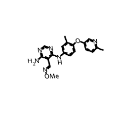 CO/N=C/c1c(N)ncnc1Nc1ccc(Oc2ccc(C)nc2)c(C)c1